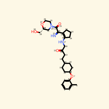 Cc1ccccc1OC1CCC(CCC(=O)CNC2=C(C(=N)C(=O)N3CCO[C@@H](CO)C3)CCC2)CC1